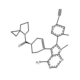 C#Cc1cc(C)c(-c2c(C3=CC[C@H](C(=O)N4CCCC45CC5)CC3)c3c(N)ncnc3n2C)cn1